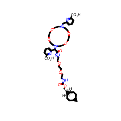 O=C(NCCOCCOCCNC(=O)C(c1cccc(C(=O)O)n1)N1CCOCCOCCN(Cc2cccc(C(=O)O)n2)CCOCCOCC1)OC[C@@H]1[C@@H]2CCC3=CC3CC[C@@H]21